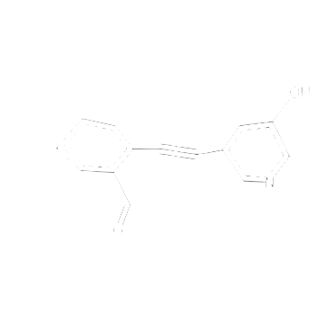 O=Cc1ccccc1C#Cc1cncc(O)c1